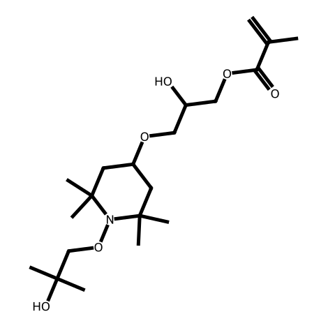 C=C(C)C(=O)OCC(O)COC1CC(C)(C)N(OCC(C)(C)O)C(C)(C)C1